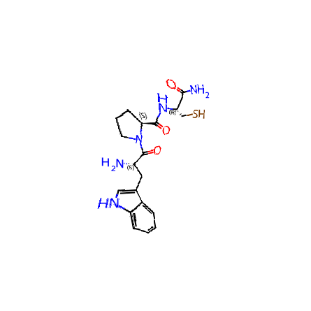 NC(=O)[C@H](CS)NC(=O)[C@@H]1CCCN1C(=O)[C@@H](N)Cc1c[nH]c2ccccc12